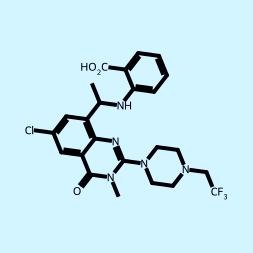 CC(Nc1ccccc1C(=O)O)c1cc(Cl)cc2c(=O)n(C)c(N3CCN(CC(F)(F)F)CC3)nc12